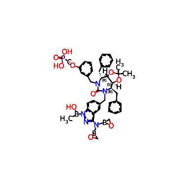 CB(O)n1nc(N(B2CO2)B2CO2)c2cc(CN3C(=O)N(Cc4cccc(OCP(=O)(O)O)c4)[C@H](Cc4ccccc4)[C@@H]4OC(C)(C)O[C@H]4[C@H]3Cc3ccccc3)ccc21